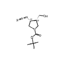 CC(C)(C)OC(=O)N1C[C@@H](CO)[C@@H](N=[N+]=[N-])C1